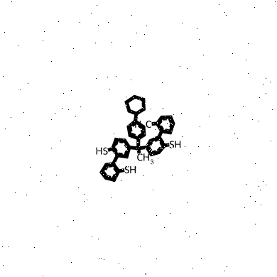 Cc1ccccc1-c1cc(C(C)(c2ccc(C3CCCCC3)cc2)c2ccc(S)c(-c3ccccc3S)c2)ccc1S